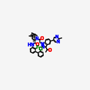 CC(=O)c1nn(CC(=O)N2C[C@@H]3C[C@@]3(C)C[C@H]2C(=O)Nc2cccc(-c3ccccc3Cl)c2F)c2ccc(-c3cnc(C)nc3)cc12